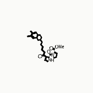 COC(=O)[C@@H]1CCCN1C(=O)[C@@H]1NCCC1C(=O)CCCCCC1CCc2cc(C)c(C)cc2C1